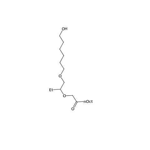 CCCCCCCCC(=O)COC(CC)COCCCCCCO